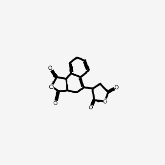 O=C1CC(C2=C3C=CCC=C3C3C(=O)OC(=O)C3C2)C(=O)O1